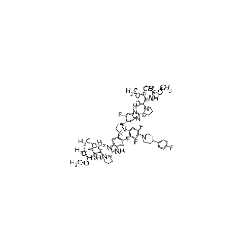 C=C([C@@H](NC(=O)OC)[C@@H](C)OC)N1CCC[C@H]1c1nc2cc([C@H]3CC[C@H](c4cc5nc([C@@H]6CCCN6C(=O)[C@@H](NC(=O)OC)[C@@H](C)OC)[nH]c5cc4F)N3c3cc(F)c(N4CCC(c5ccc(F)cc5)CC4)c(F)c3)c(F)cc2[nH]1